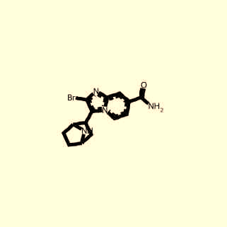 NC(=O)c1ccn2c(C3CC4CCC3N4)c(Br)nc2c1